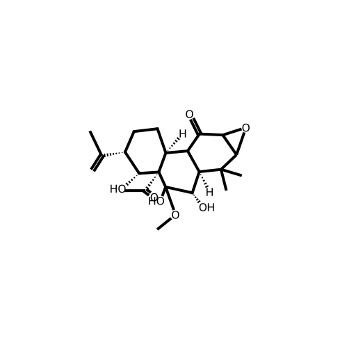 C=C(C)[C@@H]1CC[C@H]2C3C(=O)C4OC4C(C)(C)[C@H]3[C@H](O)C(O)(OC)[C@@]2(C(C)=O)[C@@H]1O